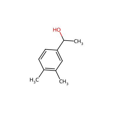 Cc1ccc(C(C)O)cc1C